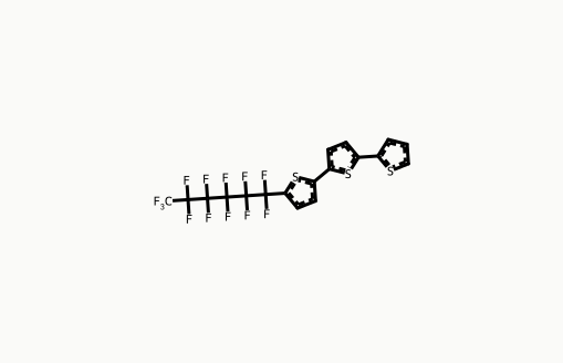 FC(F)(F)C(F)(F)C(F)(F)C(F)(F)C(F)(F)C(F)(F)c1ccc(-c2ccc(-c3cccs3)s2)s1